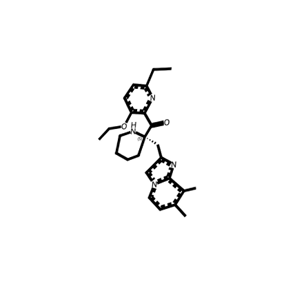 CCOc1ccc(CC)nc1C(=O)[C@@]1(Cc2cn3ccc(C)c(C)c3n2)CCCCN1